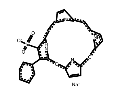 O=S(=O)([O-])c1c(-c2ccccc2)c2cc3nc(cc4ccc(cc5nc(cc1[nH]2)C=C5)[nH]4)C=C3.[Na+]